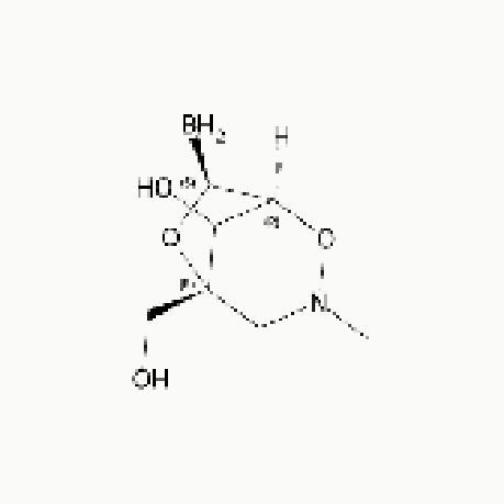 B[C@@H]1O[C@@]2(CO)CN(C)O[C@H]1C2O